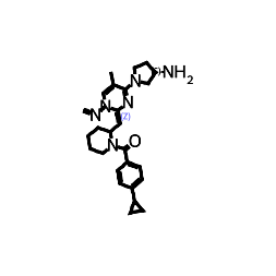 C=NN1C=C(C)C(N2CC[C@H](N)C2)=N/C1=C/C1CCCCN1C(=O)c1ccc(C2CC2)cc1